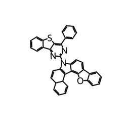 C1=CC2C=Cc3c(c4c5oc6ccccc6c5ccc4n3-c3nc(-c4ccccc4)c4sc5ccccc5c4n3)C2C=C1